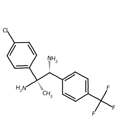 C[C@](N)(c1ccc(Cl)cc1)[C@H](N)c1ccc(C(F)(F)F)cc1